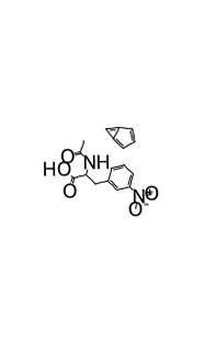 CC(=O)NC(Cc1cccc([N+](=O)[O-])c1)C(=O)O.c1cc2cc-2c1